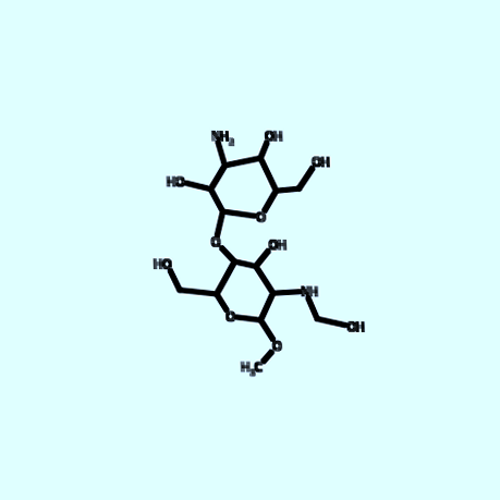 COC1OC(CO)C(OC2OC(CO)C(O)C(N)C2O)C(O)C1NCO